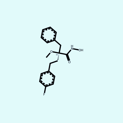 CO[C@@](CCc1ccc(F)cc1)(Cc1ccccc1)C(=O)NO